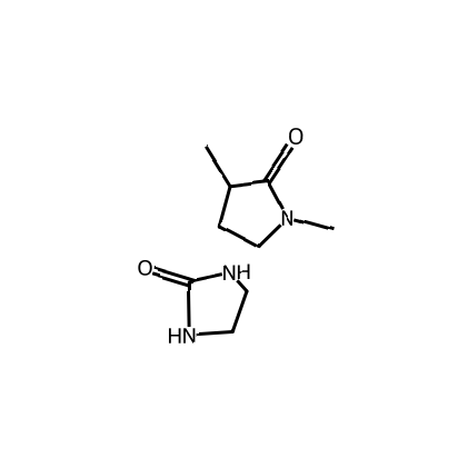 CC1CCN(C)C1=O.O=C1NCCN1